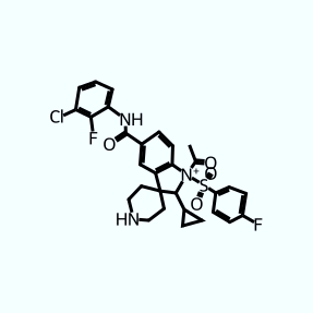 CC(=O)[N+]1(S(=O)(=O)c2ccc(F)cc2)c2ccc(C(=O)Nc3cccc(Cl)c3F)cc2C2(CCNCC2)C1C1CC1